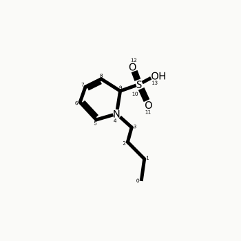 CCCCN1C=CC=CC1S(=O)(=O)O